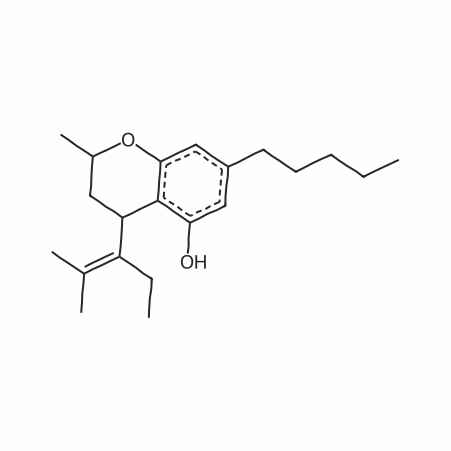 CCCCCc1cc(O)c2c(c1)OC(C)CC2C(CC)=C(C)C